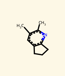 Cc1cc2c(nc1C)CCC2